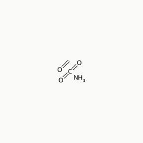 C=O.N.O=C=O